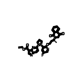 CCOC(=O)c1cnn2ccc(N3CCCN3c3cc(F)cnc3OCC[C@@H](C)N3CC(=O)c4ccccc4C3=O)nc12